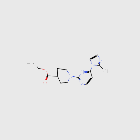 CCOC(=O)C1CCN(c2nccc(-n3ccnc3C)n2)CC1